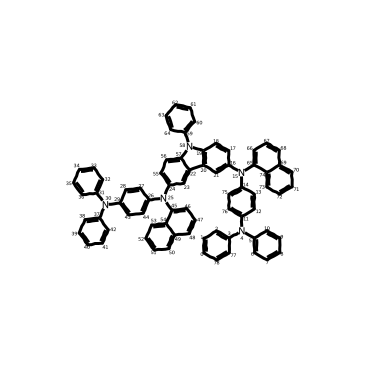 c1ccc(N(c2ccccc2)c2ccc(N(c3ccc4c(c3)c3cc(N(c5ccc(N(c6ccccc6)c6ccccc6)cc5)c5cccc6ccccc56)ccc3n4-c3ccccc3)c3cccc4ccccc34)cc2)cc1